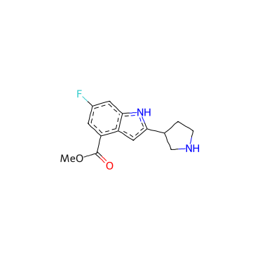 COC(=O)c1cc(F)cc2[nH]c(C3CCNC3)cc12